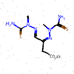 CCOC(=O)CC(C=NN(C)C(N)=S)=NN(C)C(N)=S